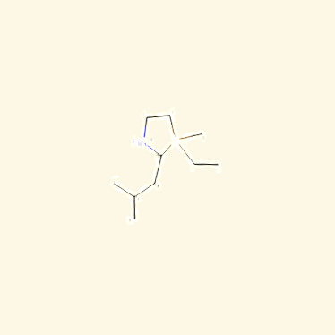 CCS1(C)CCNC1CC(C)C